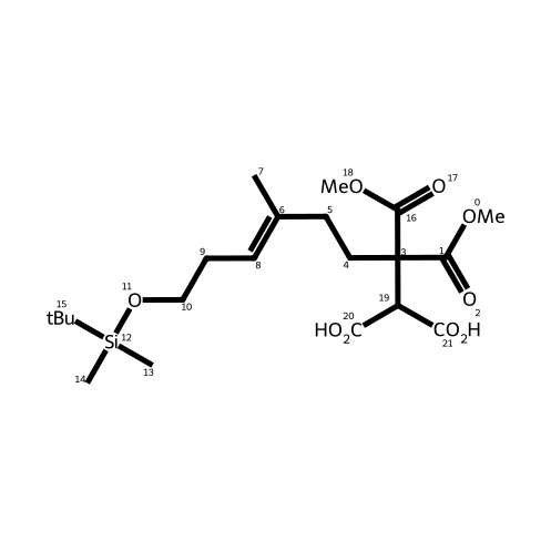 COC(=O)C(CCC(C)=CCCO[Si](C)(C)C(C)(C)C)(C(=O)OC)C(C(=O)O)C(=O)O